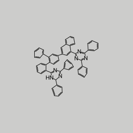 c1ccc(C2=NC(c3ccccc3)NC(c3ccccc3-c3ccc(-c4cc(-c5nc(-c6ccccc6)nc(-c6ccccc6)n5)c5ccccc5c4)cc3-c3ccccc3)=N2)cc1